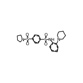 O=S(=O)(Nc1ccccc1N1CCCCC1)c1ccc(S(=O)(=O)N2CCCC2)cc1